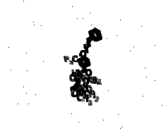 CC(C)(C)OC(=O)N1C(C(=O)NNC(=O)c2ccc(OCCCCc3ccccc3)c(C(F)(F)F)c2)=COC1(C)C